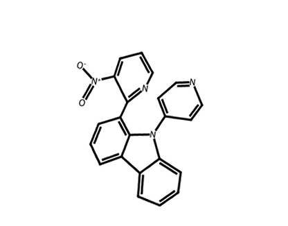 O=[N+]([O-])c1cccnc1-c1cccc2c3ccccc3n(-c3ccncc3)c12